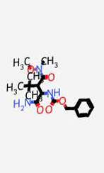 CON(C)C(=O)C(C(NC(=O)OCc1ccccc1)C(N)=O)C(C)(C)C